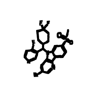 CS(=O)(=O)c1ccc2c3ncc(Br)cc3n(C(c3cnccc3F)C3CCC(F)(F)CC3)c2c1